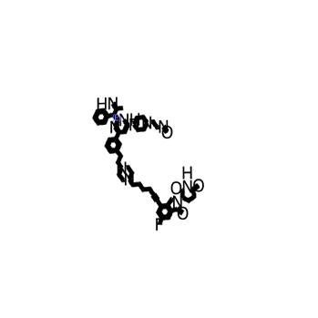 CC(=N)/C(=C1/N=C(c2cccc(CCN3CCN(CCCCC#Cc4cc(F)cc5c4CN(C4CCC(=O)NC4=O)C5=O)CC3)c2)C=C(N2CCN(CCN=O)CC2)N1)c1ccccc1